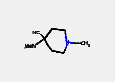 CNC1(C#N)CCN(C)CC1